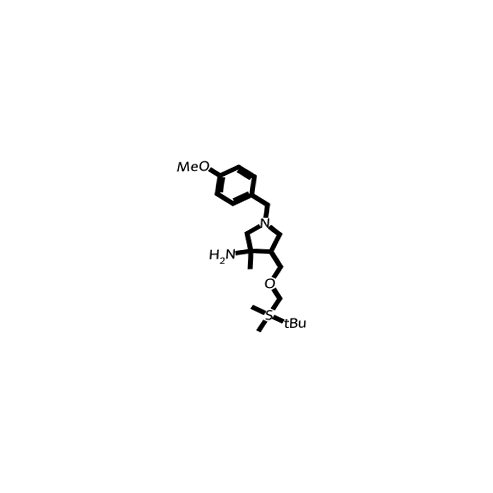 COc1ccc(CN2CC(COCS(C)(C)C(C)(C)C)C(C)(N)C2)cc1